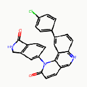 O=C1NCc2cc(-n3c(=O)ccc4cnc5ccc(-c6ccc(Cl)cc6)cc5c43)ccc21